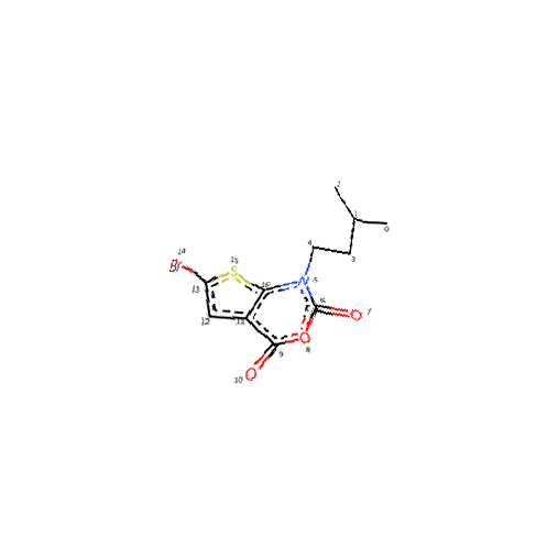 CC(C)CCn1c(=O)oc(=O)c2cc(Br)sc21